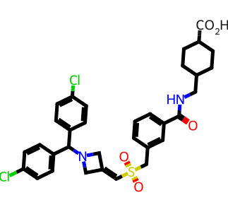 O=C(NCC1CCC(C(=O)O)CC1)c1cccc(CS(=O)(=O)C=C2CN(C(c3ccc(Cl)cc3)c3ccc(Cl)cc3)C2)c1